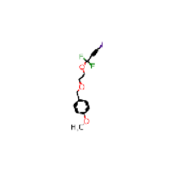 COc1ccc(COCCOC(F)(F)C#CI)cc1